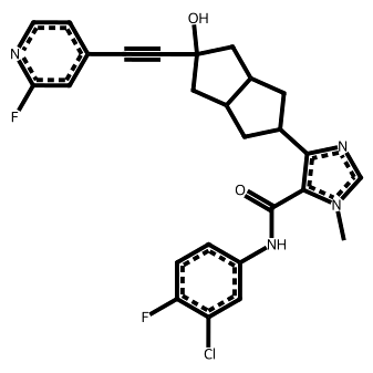 Cn1cnc(C2CC3CC(O)(C#Cc4ccnc(F)c4)CC3C2)c1C(=O)Nc1ccc(F)c(Cl)c1